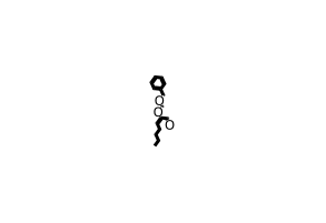 CCCCC=C(C=O)OCOCc1ccccc1